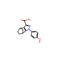 COc1ccc(-n2nc(C(=O)O)c3c2C2CCC3C2)cc1